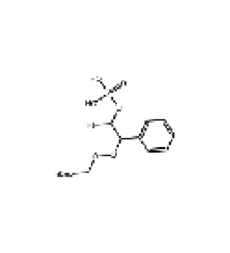 CCCCCCCCCCCOOC(c1ccccc1)C(CC)OP(=O)(O)O